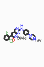 CCCN1CCN(c2ccc(Nc3ncc4cc(-c5c(F)cccc5Cl)c(=O)n(OC)c4n3)cc2)CC1